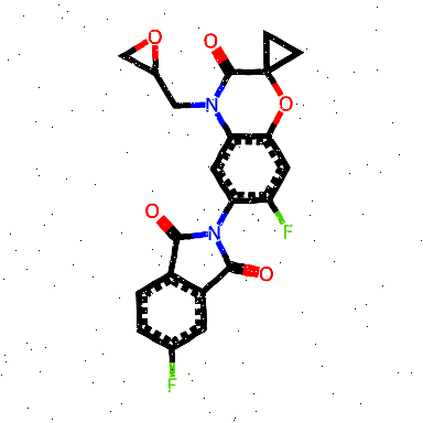 O=C1c2ccc(F)cc2C(=O)N1c1cc2c(cc1F)OC1(CC1)C(=O)N2CC1CO1